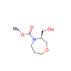 CC(C)(C)OC(=O)N1CCCOC[C@@H]1CO